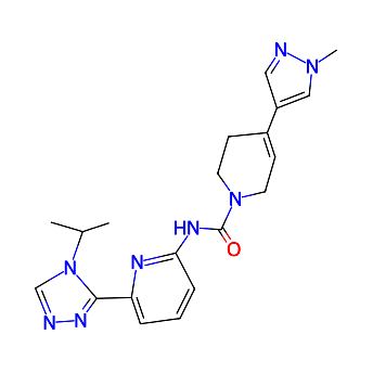 CC(C)n1cnnc1-c1cccc(NC(=O)N2CC=C(c3cnn(C)c3)CC2)n1